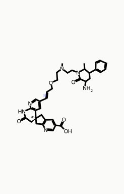 CC1C(c2ccccc2)CC(N)C(=O)N1CCN(C)CCOC/C=C/c1cnc2c(c1)[C@]1(CC(=O)N2)Cc2cc(C(=O)O)cnc2C1